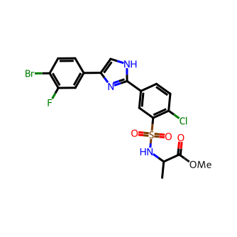 COC(=O)C(C)NS(=O)(=O)c1cc(-c2nc(-c3ccc(Br)c(F)c3)c[nH]2)ccc1Cl